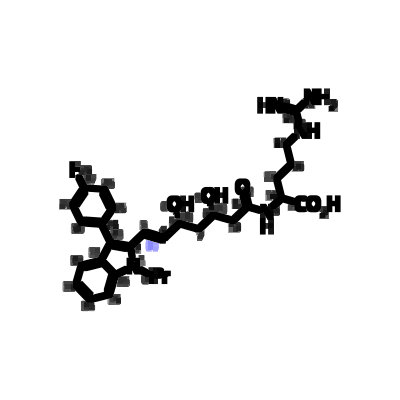 CC(C)n1c(/C=C/[C@H](O)C[C@H](O)CC(=O)NC(CCCNC(=N)N)C(=O)O)c(-c2ccc(F)cc2)c2ccccc21